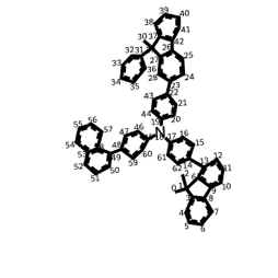 CC1(C)c2ccccc2-c2cccc(-c3ccc(N(c4ccc(-c5ccc6c(c5)C(C)(c5ccccc5)c5ccccc5-6)cc4)c4ccc(-c5cccc6ccccc56)cc4)cc3)c21